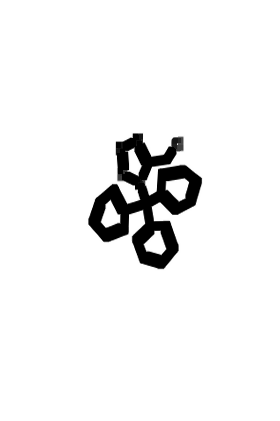 ClCc1nnnn1C(c1ccccc1)(c1ccccc1)c1ccccc1